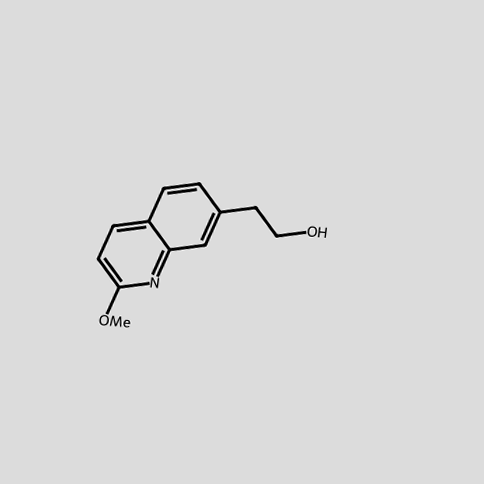 COc1ccc2ccc(CCO)cc2n1